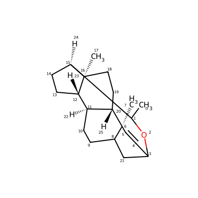 CC1OC2C=C[C@@]3(C)C(CC[C@H]4[C@@H]5CC[C@H]1[C@@]5(C)CC[C@@H]43)C2